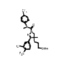 CSCCCC1(C)CN(C(=O)N(C)c2ccc(C(F)(F)F)cc2)N=C1c1ccc(C(F)(F)F)c(Cl)c1